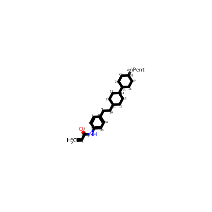 C=CC(=O)Nc1ccc(CCC2CCC(C3CCC(CCCCC)CC3)CC2)cc1